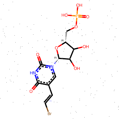 O=c1[nH]c(=O)n([C@@H]2O[C@H](COP(=O)(O)O)C(O)C2O)cc1/C=C/Br